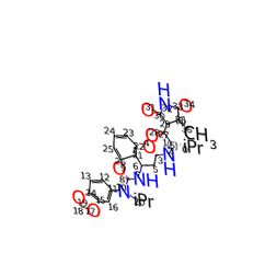 CC(C)[C@H](NC(=O)CC(NC(=O)N(c1ccc2c(c1)OCO2)C(C)C)c1ccccc1)C(=O)C1C(=O)NC(=O)[C@H]1C